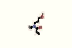 [2H]N(CCCOC)C(=O)C=C